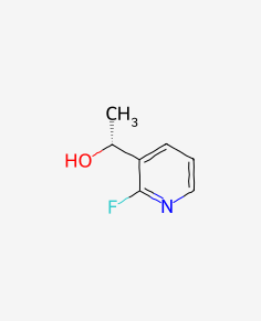 C[C@@H](O)c1cccnc1F